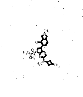 C=C1CC(N(C)c2cnc3c(-c4ccc5nn(C)cc5c4Cl)cn(S(=O)(=O)N(C)C)c3n2)C1